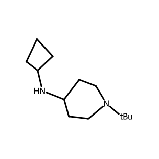 CC(C)(C)N1CCC(NC2CCC2)CC1